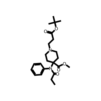 CCC(=O)N(c1ccccc1)C1(C(=O)OC)CCN(CCC(=O)OC(C)(C)C)CC1